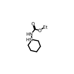 CCOC(=O)N[SiH]1CCCCC1